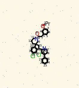 CC(C)Oc1cccc(CC(=O)N2CCCC(CCC3CC4(c5ccccc5)CCN3CC4)(c3ccc(Cl)c(Cl)c3)C2)c1